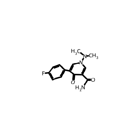 CN(C)n1cc(C(N)=O)c(=O)c(-c2ccc(F)cc2)c1